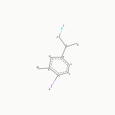 C[C](CF)c1ccc(I)c(C)c1